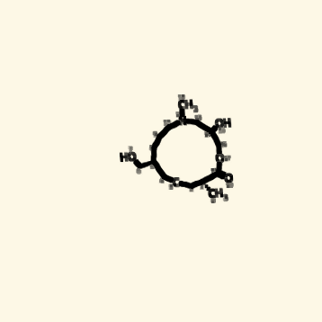 C[C@@H]1CCC[C@@H](CO)CCCN(C)CC(O)COC1=O